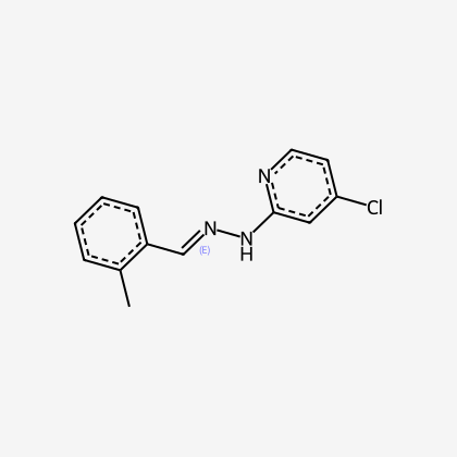 Cc1ccccc1/C=N/Nc1cc(Cl)ccn1